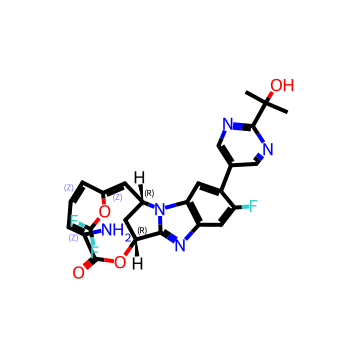 CC(C)(O)c1ncc(-c2cc3c(cc2F)nc2n3[C@H]3/C=C(OC(F)F)/C=C\C=C(/N)C(=O)O[C@@H]2C3)cn1